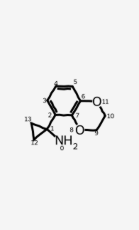 NC1(c2cccc3c2OCCO3)CC1